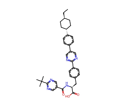 CC[C@H]1CC[C@H](c2ccc(-c3cnc(-c4ccc(C[C@H](NC(=O)c5cnc(C(C)(C)C)nc5)C(=O)O)cc4)nc3)cc2)CC1